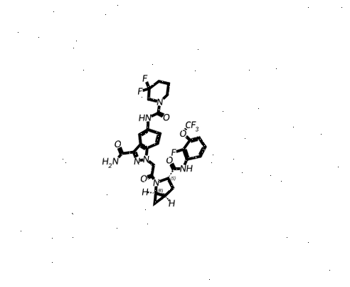 NC(=O)c1nn(CC(=O)N2[C@@H]3C[C@@H]3C[C@H]2C(=O)Nc2cccc(OC(F)(F)F)c2F)c2ccc(NC(=O)N3CCCC(F)(F)C3)cc12